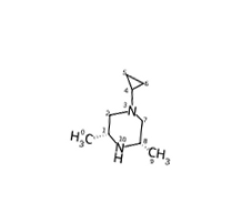 C[C@@H]1CN(C2CC2)C[C@H](C)N1